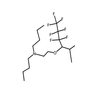 CCCCN(CCCC)CCOC(C(C)C)C(F)(F)C(F)(F)C(F)(F)F